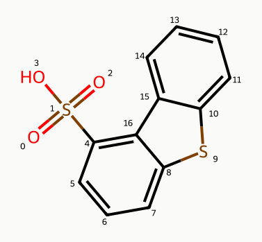 O=S(=O)(O)c1cccc2sc3ccccc3c12